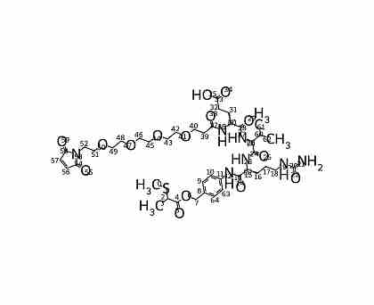 CSC(C)C(=O)OCc1ccc(NC(=O)[C@H](CCCNC(N)=O)NC(=O)[C@@H](NC(=O)[C@H](CCC(=O)O)NC(=O)CCOCCOCCOCCOCCN2C(=O)C=CC2=O)C(C)C)cc1